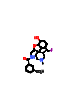 CC1CN(C)CCC12/C(=C\NC(=O)c1cccc(C(=O)O)c1)Oc1c(O)ccc(CI)c12